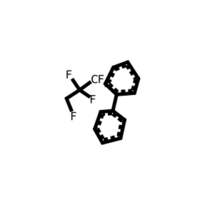 FCC(F)(F)C(F)(F)F.c1ccc(-c2ccccc2)cc1